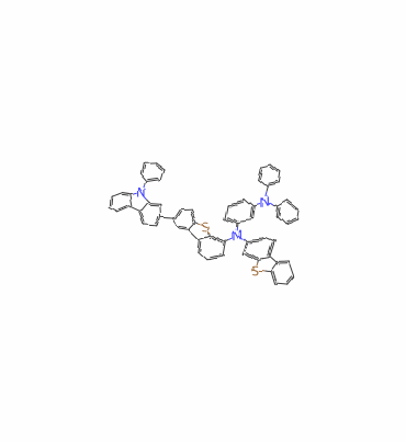 c1ccc(N(c2ccccc2)c2cccc(N(c3ccc4c(c3)sc3ccccc34)c3cccc4c3sc3ccc(-c5ccc6c7ccccc7n(-c7ccccc7)c6c5)cc34)c2)cc1